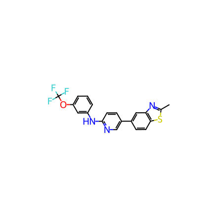 Cc1nc2cc(-c3ccc(Nc4cccc(OC(F)(F)F)c4)nc3)ccc2s1